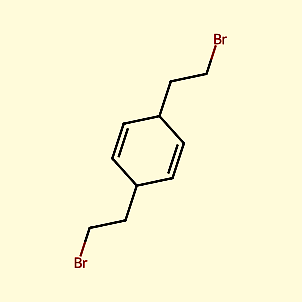 BrCCC1C=CC(CCBr)C=C1